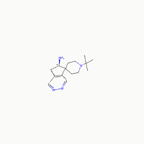 CC(C)(C)N1CCC2(CC1)c1cnncc1C[C@H]2N